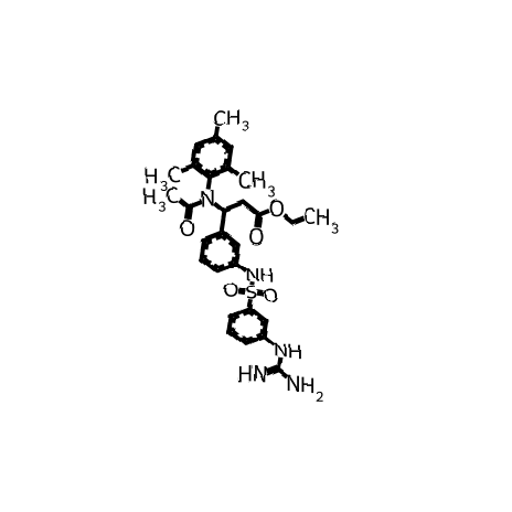 CCOC(=O)CC(c1cccc(NS(=O)(=O)c2cccc(NC(=N)N)c2)c1)N(C(C)=O)c1c(C)cc(C)cc1C